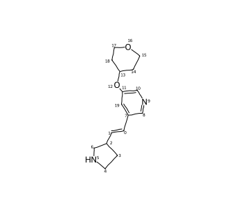 C(=CC1CCNC1)c1cncc(OC2CCOCC2)c1